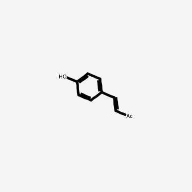 CC(=O)C=Cc1ccc(O)cc1